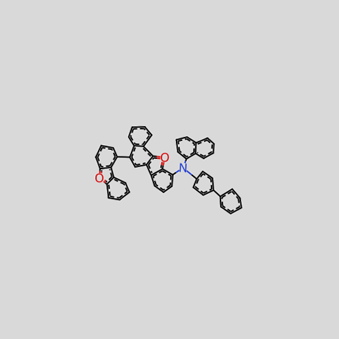 c1ccc(-c2ccc(N(c3cccc4ccccc34)c3cccc4c3oc3c5ccccc5c(-c5cccc6oc7ccccc7c56)cc43)cc2)cc1